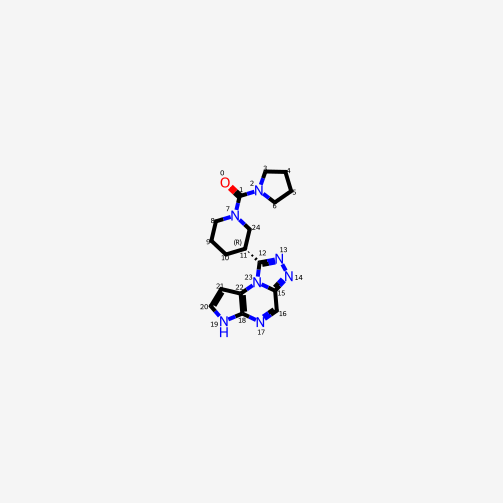 O=C(N1CCCC1)N1CCC[C@@H](c2nnc3cnc4[nH]ccc4n23)C1